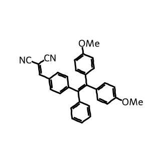 COc1ccc(C(=C(c2ccccc2)c2ccc(C=C(C#N)C#N)cc2)c2ccc(OC)cc2)cc1